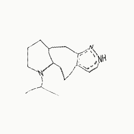 CC(C)N1CCCC2Cc3n[nH]cc3CC21